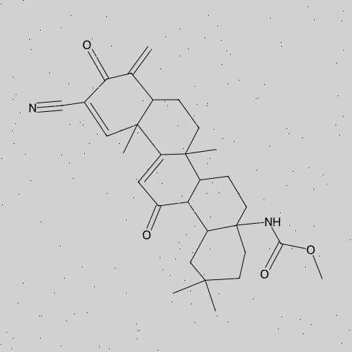 C=C1C(=O)C(C#N)=CC2(C)C3=CC(=O)C4C5CC(C)(C)CCC5(NC(=O)OC)CCC4C3(C)CCC12